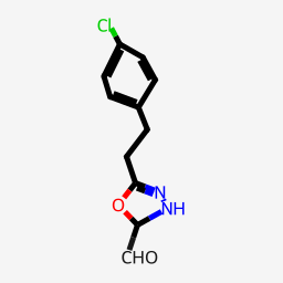 O=CC1NN=C(CCc2ccc(Cl)cc2)O1